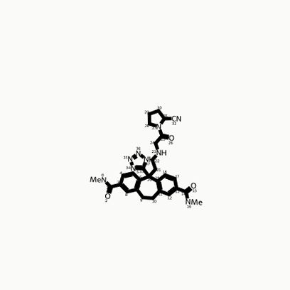 CNC(=O)c1ccc2c(c1)CCc1cc(C(=O)NC)ccc1C2(CCNCC(=O)N1CCCC1C#N)c1nnn[nH]1